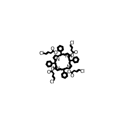 O=C(CC=CCl)Oc1ccccc1-c1c2nc(c(-c3ccccc3OC(=O)CC=CCl)c3ccc([nH]3)c(-c3ccccc3OC(=O)CC=CCl)c3nc(c(-c4ccccc4OC(=O)CC=CCl)c4ccc1[nH]4)C=C3)C=C2